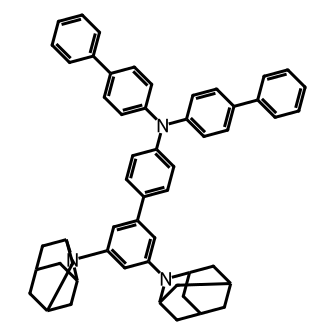 c1ccc(-c2ccc(N(c3ccc(-c4ccccc4)cc3)c3ccc(-c4cc(N5C6CC7CC(C6)CC5C7)cc(N5C6CC7CC(C6)CC5C7)c4)cc3)cc2)cc1